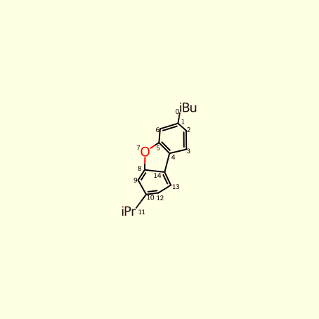 CCC(C)c1ccc2c(c1)oc1cc(C(C)C)ccc12